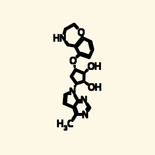 Cc1ncnc2c1ccn2[C@@H]1C[C@H](Oc2cccc3c2CNCCO3)[C@@H](O)[C@H]1O